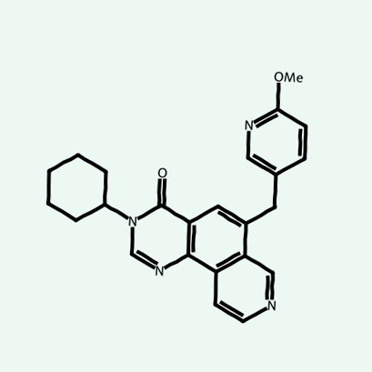 COc1ccc(Cc2cc3c(=O)n(C4CCCCC4)cnc3c3ccncc23)cn1